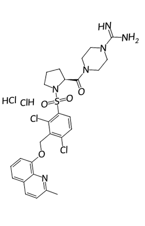 Cc1ccc2cccc(OCc3c(Cl)ccc(S(=O)(=O)N4CCC[C@H]4C(=O)N4CCN(C(=N)N)CC4)c3Cl)c2n1.Cl.Cl